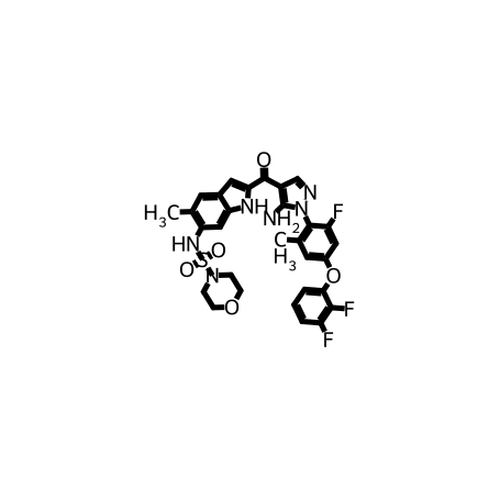 Cc1cc2cc(C(=O)c3cnn(-c4c(C)cc(Oc5cccc(F)c5F)cc4F)c3N)[nH]c2cc1NS(=O)(=O)N1CCOCC1